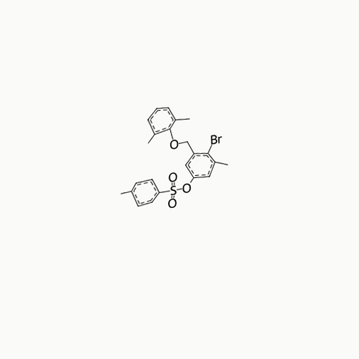 Cc1ccc(S(=O)(=O)Oc2cc(C)c(Br)c(COc3c(C)cccc3C)c2)cc1